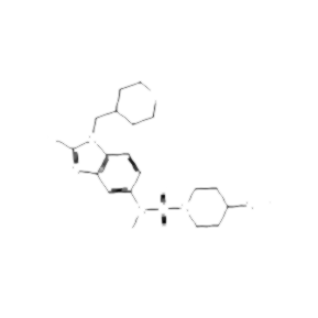 CC(=O)NC1CCN(S(=O)(=O)N(C)c2ccc3c(c2)nc(C(C)(C)C)n3CC2CCOCC2)CC1